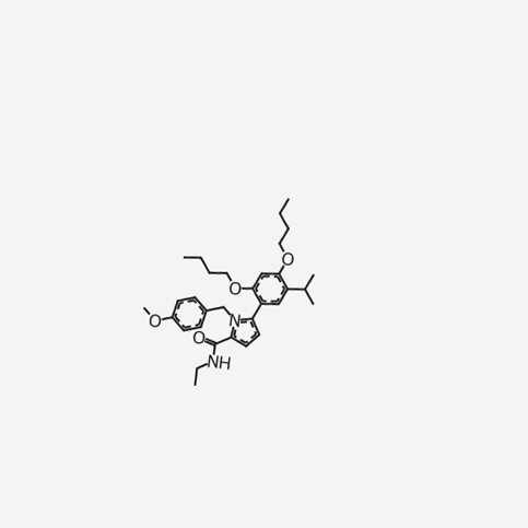 CCCCOc1cc(OCCCC)c(C(C)C)cc1-c1ccc(C(=O)NCC)n1Cc1ccc(OC)cc1